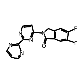 O=C1c2cc(F)c(F)cc2CN1c1ccnc(-c2ncccn2)n1